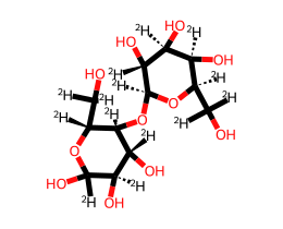 [2H]C1(O)O[C@]([2H])(C([2H])([2H])O)[C@@]([2H])(O[C@]2([2H])O[C@]([2H])(C([2H])([2H])O)[C@]([2H])(O)[C@]([2H])(O)[C@@]2([2H])O)[C@]([2H])(O)[C@@]1([2H])O